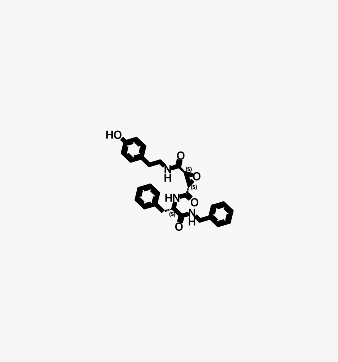 O=C(NCc1ccccc1)[C@H](Cc1ccccc1)NC(=O)[C@H]1O[C@@H]1C(=O)NCCc1ccc(O)cc1